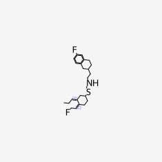 CC/C=C1/CC(SCNCCC2CCc3cc(F)ccc3C2)CC/C1=C/CF